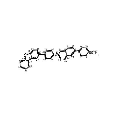 FC(F)(F)c1ccc(-c2ccc3cc(-c4ccc(-c5ccc6sc7ncccc7c6c5)cc4)ccc3c2)cc1